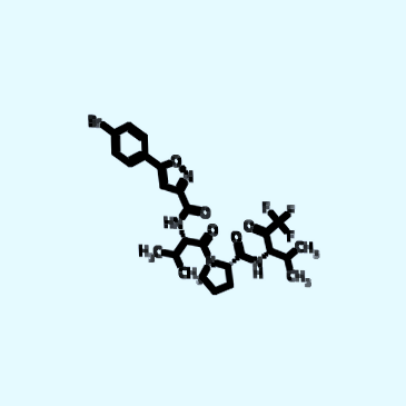 CC(C)[C@H](NC(=O)c1cc(-c2ccc(Br)cc2)on1)C(=O)N1CCC[C@H]1C(=O)N[C@H](C(=O)C(F)(F)F)C(C)C